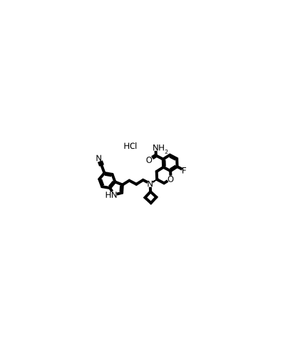 Cl.N#Cc1ccc2[nH]cc(CCCN(C3CCC3)[C@@H]3COc4c(F)ccc(C(N)=O)c4C3)c2c1